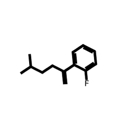 C=C(CCC(C)C)c1ccccc1F